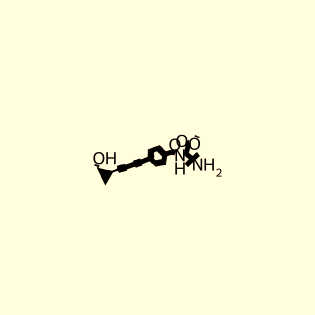 COC(=O)[C@@H](NC(=O)c1ccc(C#CC#C[C@H]2C[C@@H]2CO)cc1)C(C)(C)N